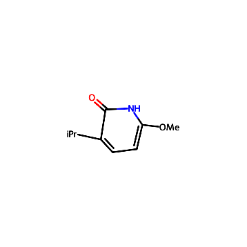 COc1ccc(C(C)C)c(=O)[nH]1